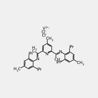 CC(=Nc1c(C(C)C)cc(C)cc1C(C)C)c1cc(C)cc(C(C)=Nc2c(C(C)C)cc(C)cc2C(C)C)n1.[Cl-].[Cl-].[V+2]